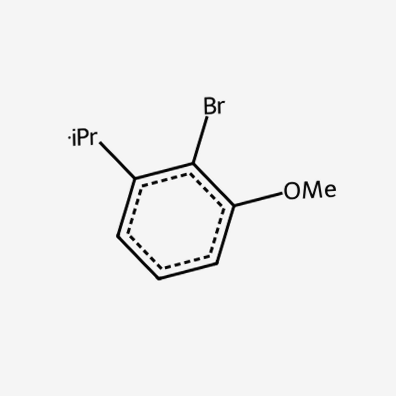 COc1cccc([C](C)C)c1Br